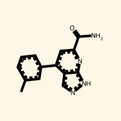 Cc1cccc(-c2cc(C(N)=O)nc3[nH]ncc23)c1